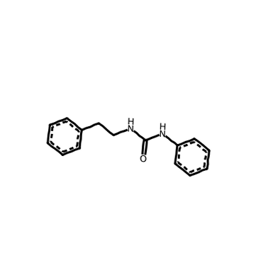 O=C(NCCc1ccccc1)Nc1ccccc1